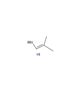 CC(C)=[CH][Mn].I